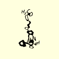 CC(=O)OCCCOc1ccc2c(c1)CN1C(=N2)NC(=O)C1c1ccccc1